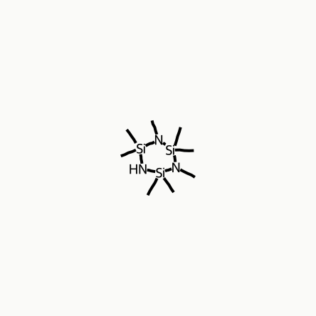 CN1[Si](C)(C)N[Si](C)(C)N(C)[Si]1(C)C